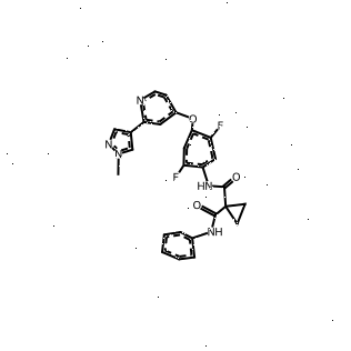 Cn1cc(-c2cc(Oc3cc(F)c(NC(=O)C4(C(=O)Nc5ccccc5)CC4)cc3F)ccn2)cn1